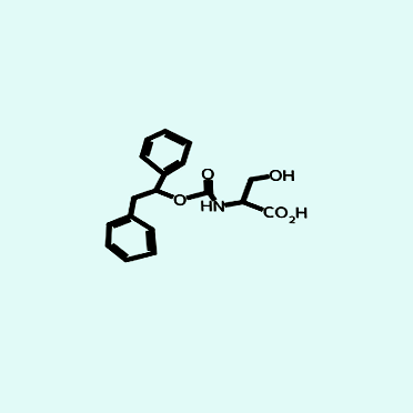 O=C(NC(CO)C(=O)O)OC(Cc1ccccc1)c1ccccc1